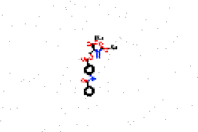 CC(C)(C)OC(=O)N[C@@H](COC(=O)c1ccc(NC(=O)c2ccccc2)cc1)C(=O)OC(C)(C)C